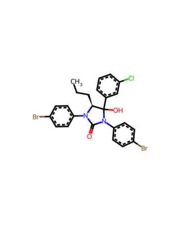 CCC[C@@H]1N(c2ccc(Br)cc2)C(=O)N(c2ccc(Br)cc2)C1(O)c1cccc(Cl)c1